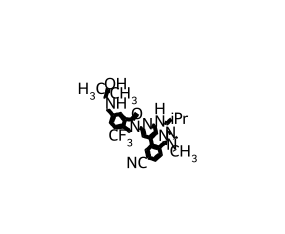 CC(C)CNc1cc(-c2cc(C#N)ccc2-c2nncn2C)cc(N2Cc3c(cc(CNCC(C)(C)O)cc3C(F)(F)F)C2=O)n1